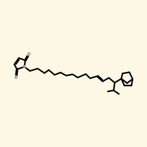 CC(C)C(CC=CCCCCCCCCCCCN1C(=O)C=CC1=O)C12CCC(CC1)C2